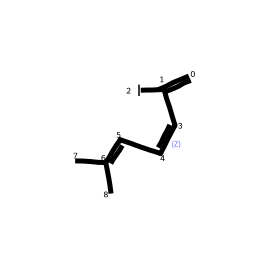 C=C(I)/C=C\C=C(C)C